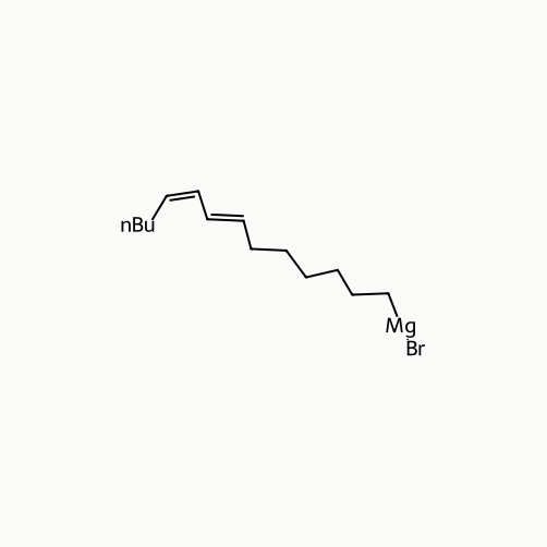 CCCC/C=C\C=C\CCCCC[CH2][Mg][Br]